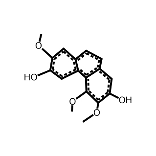 COc1cc2ccc3cc(O)c(OC)c(OC)c3c2cc1O